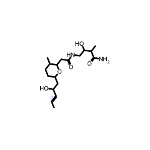 C/C=C/C(O)CC1CCC(C)C(CC(=O)NCC(O)C(C)C(N)=O)O1